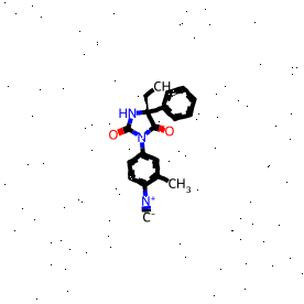 [C-]#[N+]c1ccc(N2C(=O)N[C@](CC)(c3ccccc3)C2=O)cc1C